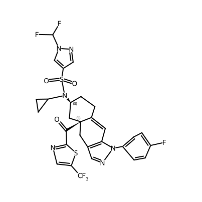 O=C(c1ncc(C(F)(F)F)s1)[C@]12Cc3cnn(-c4ccc(F)cc4)c3C=C1CC[C@H](N(C1CC1)S(=O)(=O)c1cnn(C(F)F)c1)C2